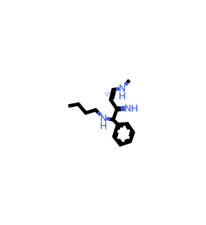 CCCCNC(C(=N)/C=C\NC)c1ccccc1